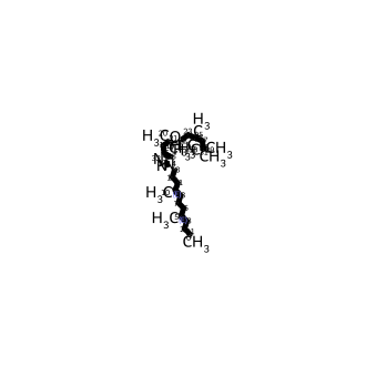 CCC/C=C(\C)CC/C=C(\C)CCCn1cc(CC(C)(C)OCCC(C)(C)CC(C)(C)C)nn1